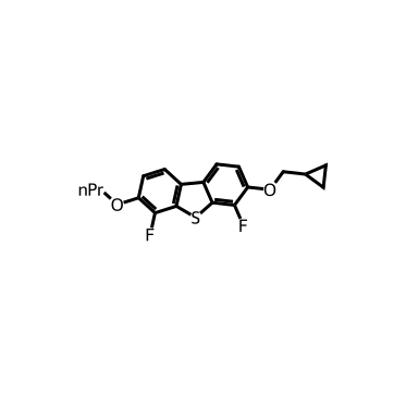 CCCOc1ccc2c(sc3c(F)c(OCC4CC4)ccc32)c1F